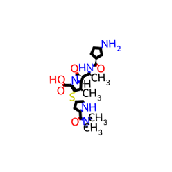 C[C@@H](NC(=O)[C@H]1CC[C@@H](N)C1)[C@H]1C(=O)N2C(C(=O)O)=C(S[C@@H]3CNC(C(=O)N(C)C)C3)[C@H](C)[C@H]12